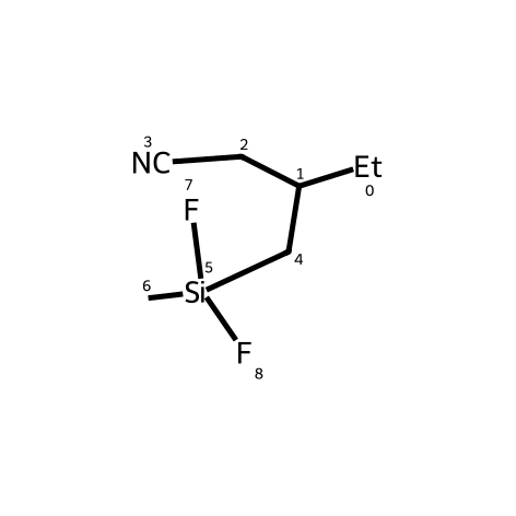 CCC(CC#N)C[Si](C)(F)F